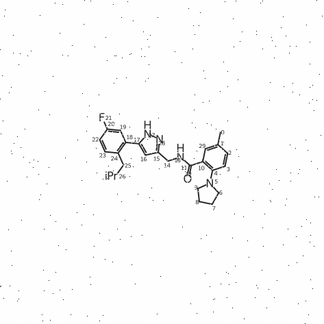 Cc1ccc(N2CCCC2)c(C(=O)NCc2cc(-c3cc(F)ccc3CC(C)C)[nH]n2)c1